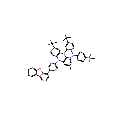 Cc1cc2c3c(c1)N(c1ccc(C(C)(C)C)cc1)c1ccc(C(C)(C)C)cc1B3c1cc(C(C)(C)C)ccc1N2c1ccc(-c2cccc3c2oc2ccccc23)cc1